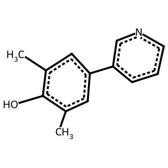 Cc1cc(-c2cccnc2)cc(C)c1O